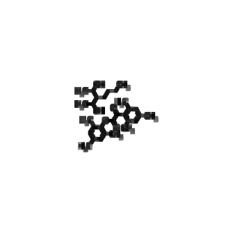 CCCCC(C(C)O)C(C)O.Cc1cc(C)c(OC(=O)C(=O)c2c(C)cc(C)cc2C)c(C)c1